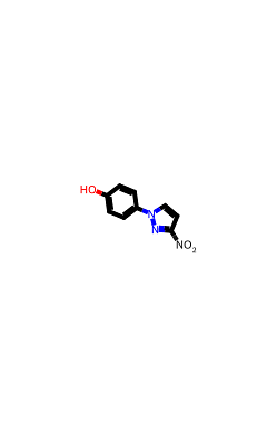 O=[N+]([O-])c1ccn(-c2ccc(O)cc2)n1